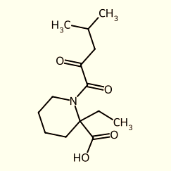 CCC1(C(=O)O)CCCCN1C(=O)C(=O)CC(C)C